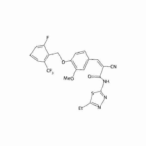 CCc1nnc(NC(=O)C(C#N)=Cc2ccc(OCc3c(F)cccc3C(F)(F)F)c(OC)c2)s1